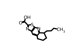 CCCCC1CCCc2cc3nc(C(=O)O)sc3nc21